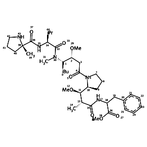 CC[C@H](C)[C@@H]([C@@H](CC(=O)N1CCC[C@H]1[C@H](OC)[C@@H](C)C(=O)NC(Cc1ccccc1)C(=O)OC)OC)N(C)C(=O)[C@@H](NC(=O)[C@]1(C)CCCN1)C(C)C